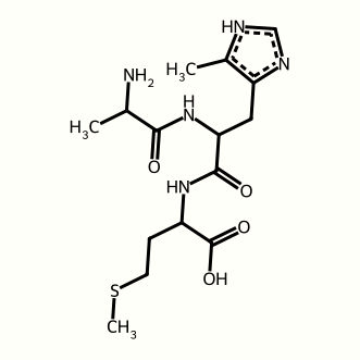 CSCCC(NC(=O)C(Cc1nc[nH]c1C)NC(=O)C(C)N)C(=O)O